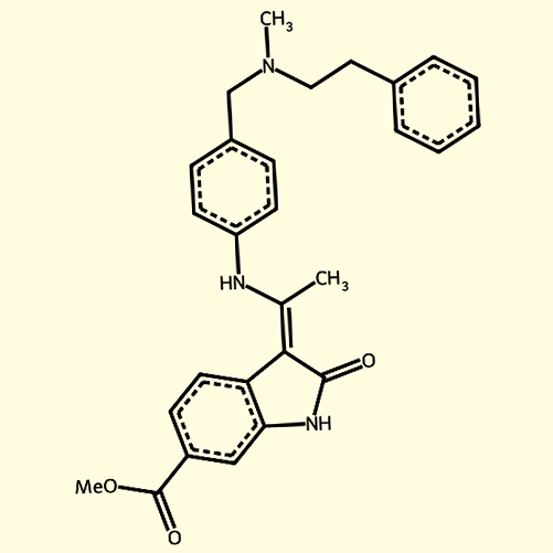 COC(=O)c1ccc2c(c1)NC(=O)C2=C(C)Nc1ccc(CN(C)CCc2ccccc2)cc1